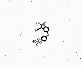 Cn1c(N)c(C#N)c2cc(Oc3ccc(OP(=O)(O)O)cc3)ccc21